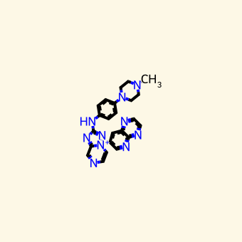 CN1CCN(c2ccc(NC3=N[N+]4(c5cnc6nccnc6c5)C=CN=CC4=N3)cc2)CC1